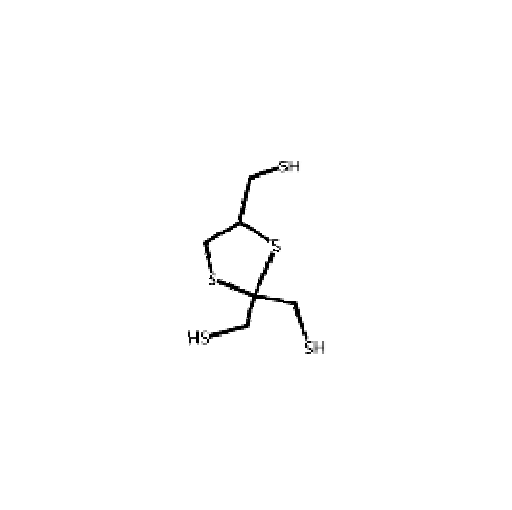 SCC1CSC(CS)(CS)S1